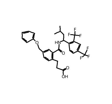 CC(C)CC(NC(=O)c1cc(COc2ccccc2)ccc1CCC(=O)O)c1ccc(C(F)(F)F)cc1C(F)(F)F